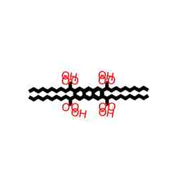 CCCCCCCCCC(C(=O)OO)c1cc2cc3cc(C(CCCCCCCCC)C(=O)OO)c(C(CCCCCCCCC)C(=O)OO)cc3cc2cc1C(CCCCCCCCC)C(=O)OO